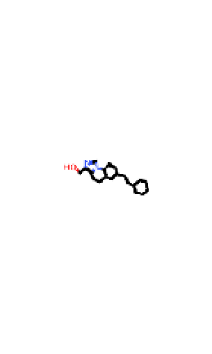 OCc1ncn2c1CCc1cc(CCC3CCCCC3)ccc1-2